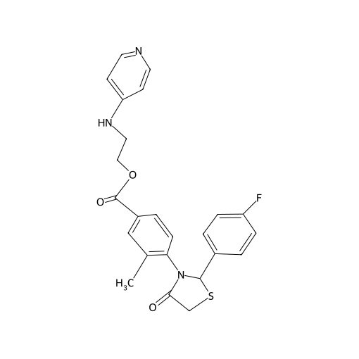 Cc1cc(C(=O)OCCNc2ccncc2)ccc1N1C(=O)CSC1c1ccc(F)cc1